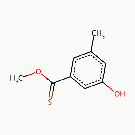 COC(=S)c1cc(C)cc(O)c1